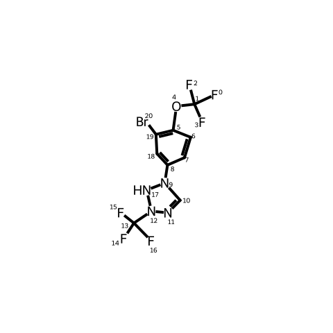 FC(F)(F)Oc1ccc(N2C=NN(C(F)(F)F)N2)cc1Br